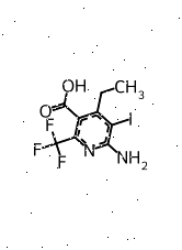 CCc1c(I)c(N)nc(C(F)(F)F)c1C(=O)O